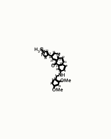 COc1ccc(CNc2ccc3ccc4ncc(-c5cnn(C)c5)cc4c(=O)c3c2)c(OC)c1